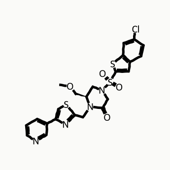 COC[C@H]1CN(S(=O)(=O)c2cc3ccc(Cl)cc3s2)CC(=O)N1Cc1nc(-c2cccnc2)cs1